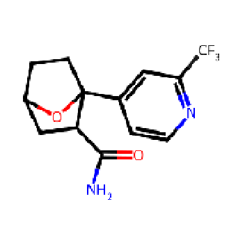 NC(=O)C1CC2CCC1(c1ccnc(C(F)(F)F)c1)O2